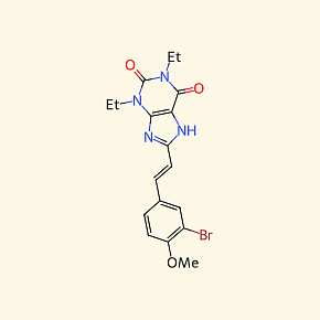 CCn1c(=O)c2[nH]c(/C=C/c3ccc(OC)c(Br)c3)nc2n(CC)c1=O